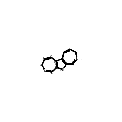 C1=Cc2c(sc3c2C=CCN=C3)C=NC1